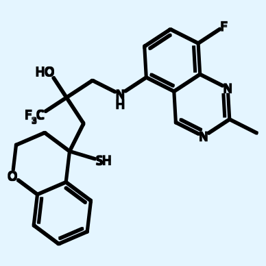 Cc1ncc2c(NCC(O)(CC3(S)CCOc4ccccc43)C(F)(F)F)ccc(F)c2n1